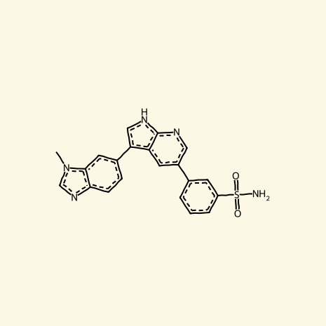 Cn1cnc2ccc(-c3c[nH]c4ncc(-c5cccc(S(N)(=O)=O)c5)cc34)cc21